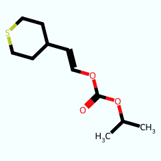 CC(C)OC(=O)OC=CC1CCSCC1